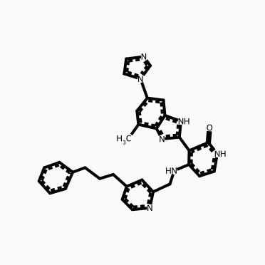 Cc1cc(-n2ccnc2)cc2[nH]c(-c3c(NCc4cc(CCCc5ccccc5)ccn4)cc[nH]c3=O)nc12